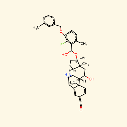 CC(=O)[C@@]1(OC(O)c2c(C)ccc(OCc3cccc(C)c3)c2F)CC[C@H]2C3(N)CCC4=CC(=C=O)C=CC4(C)[C@H]3C(O)CC21C